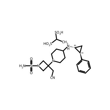 CC(S(=O)(=O)O)S(=O)(=O)O.N#CCC1(N2CCC(N[C@@H]3C[C@H]3c3ccccc3)CC2)CN(S(N)(=O)=O)C1